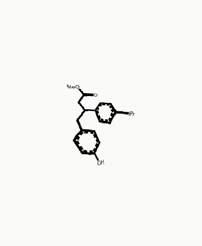 COC(=O)CC(Cc1ccc(O)cc1)c1ccc(C(C)C)cc1